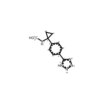 O=C(O)NC1(c2ccc(-c3nnn[nH]3)cc2)CC1